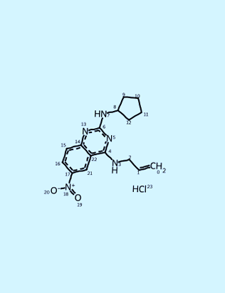 C=CCNc1nc(NC2CCCC2)nc2ccc([N+](=O)[O-])cc12.Cl